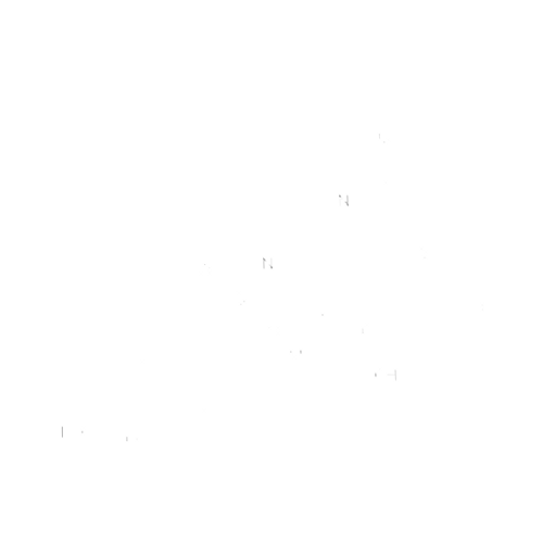 COC(=O)C1CN(C(=O)c2ccc(Cl)s2)c2ccccc2CN1S(=O)(=O)c1ccc(OC)cc1